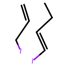 C=CCI.CCC=CI